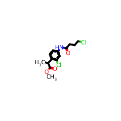 COC(=O)C(C)c1ccc(NC(=O)CCCCl)cc1Cl